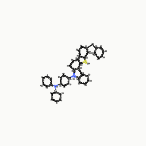 c1ccc(N(c2ccccc2)c2ccc(-n3c4ccccc4c4c5sc6c7c(ccc6c5ccc43)Cc3ccccc3-7)cc2)cc1